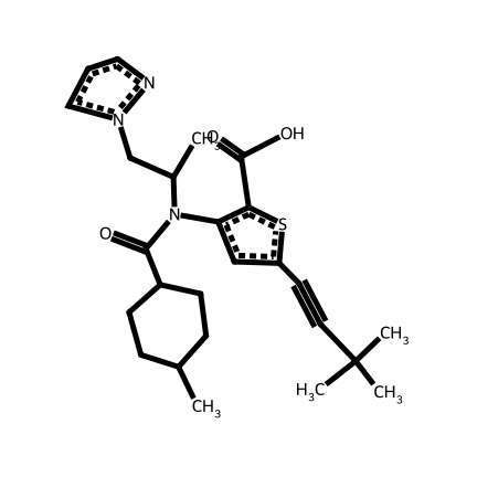 CC1CCC(C(=O)N(c2cc(C#CC(C)(C)C)sc2C(=O)O)C(C)Cn2cccn2)CC1